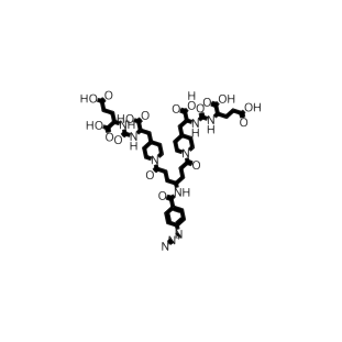 [N-]=[N+]=Nc1ccc(C(=O)NC(CCC(=O)N2CCC(CC(NC(=O)NC(CCC(=O)O)C(=O)O)C(=O)O)CC2)CCC(=O)N2CCC(CC(NC(=O)NC(CCC(=O)O)C(=O)O)C(=O)O)CC2)cc1